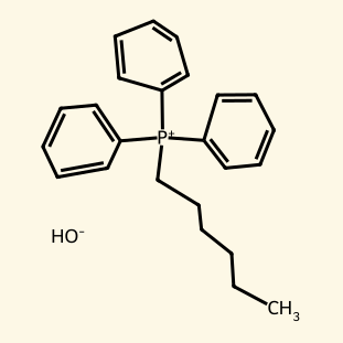 CCCCCC[P+](c1ccccc1)(c1ccccc1)c1ccccc1.[OH-]